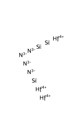 [Hf+4].[Hf+4].[Hf+4].[N-3].[N-3].[N-3].[N-3].[Si].[Si].[Si]